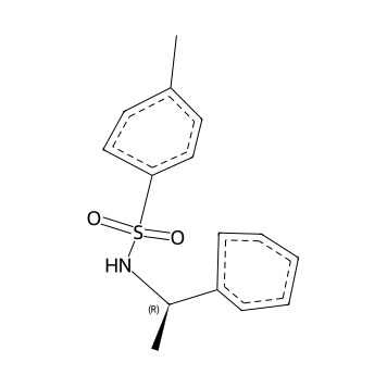 Cc1ccc(S(=O)(=O)N[C@H](C)c2ccccc2)cc1